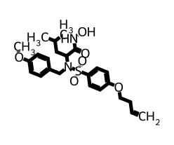 C=CCCOc1ccc(S(=O)(=O)N(Cc2ccc(OC)cc2)C(CC(C)C)C(=O)NO)cc1